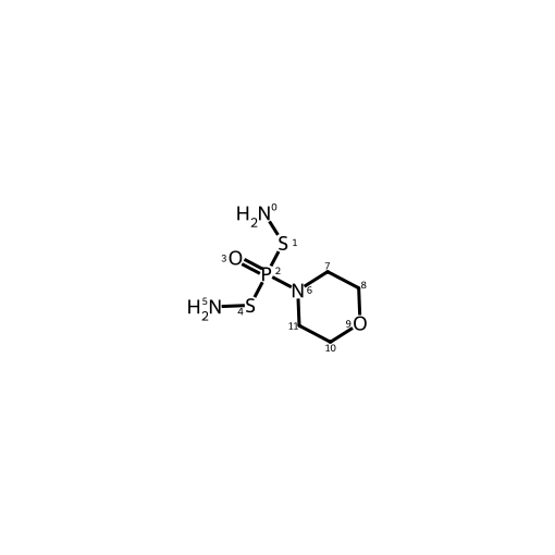 NSP(=O)(SN)N1CCOCC1